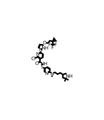 CN(CCCC1CNC(C)(C)C1)c1ccc(SNC(=O)c2ccc(N3C=CC(OCCC4(C(F)(F)F)CC4)N3)nc2Cl)cn1